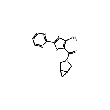 Cc1nc(-c2ncccn2)sc1C(=O)N1CC2CC2C1